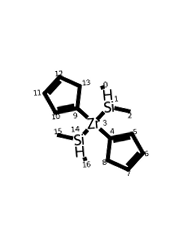 C[SiH](C)[Zr]([C]1=CC=CC1)([C]1=CC=CC1)[SiH](C)C